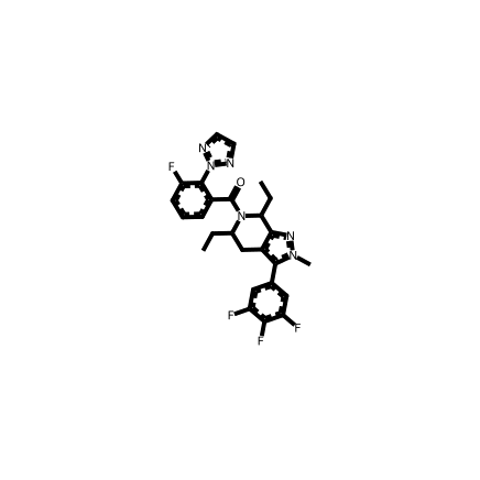 CCC1Cc2c(nn(C)c2-c2cc(F)c(F)c(F)c2)C(CC)N1C(=O)c1cccc(F)c1-n1nccn1